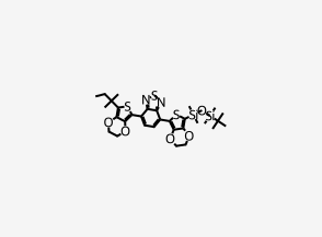 CCC(C)(C)c1sc(-c2ccc(-c3sc([Si](C)(C)O[Si](C)(C)C(C)(C)C)c4c3OCCO4)c3nsnc23)c2c1OCCO2